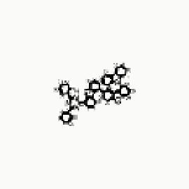 c1ccc(C2=NC(c3cccc4c3sc3cccc(-c5ccc6oc7cccc(-n8c9ccccc9c9ccccc98)c7c6c5)c34)NC(c3ccccc3)=N2)cc1